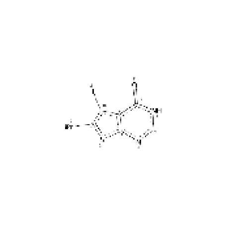 CC(C)c1sc2nc[nH]c(=O)c2c1I